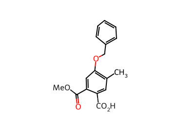 COC(=O)c1cc(OCc2ccccc2)c(C)cc1C(=O)O